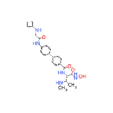 CNC(C)C(NC(=O)c1ccc(-c2ccc(NC(=O)CNC3CCC3)cc2)cc1)C(=O)NO